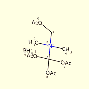 CC(=O)OC[N+](C)(C)C(OC(C)=O)(OC(C)=O)OC(C)=O.[BH4-]